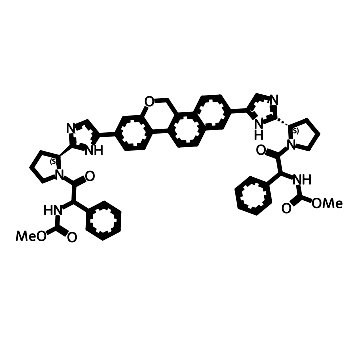 COC(=O)NC(C(=O)N1CCC[C@H]1c1ncc(-c2ccc3c(c2)OCc2c-3ccc3cc(-c4cnc([C@@H]5CCCN5C(=O)C(NC(=O)OC)c5ccccc5)[nH]4)ccc23)[nH]1)c1ccccc1